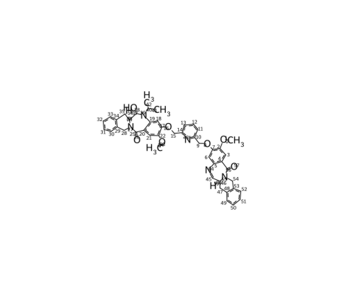 COc1cc2c(cc1OCc1cccc(COc3cc4c(cc3OC)C(=O)N3Cc5ccccc5C[C@H]3C(O)N4C(C)C)n1)N=C[C@@H]1Cc3ccccc3CN1C2=O